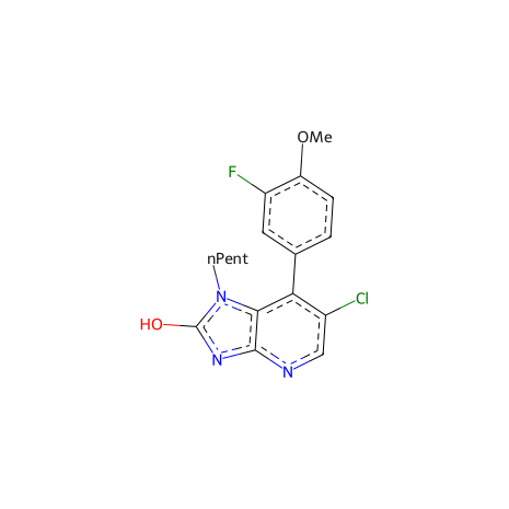 CCCCCn1c(O)nc2ncc(Cl)c(-c3ccc(OC)c(F)c3)c21